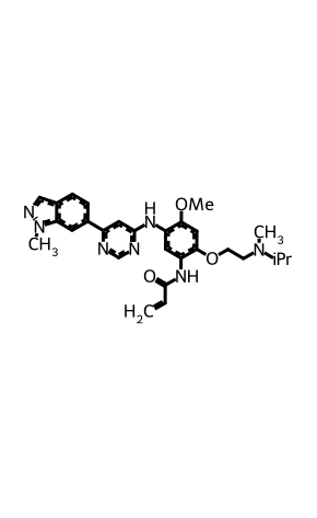 C=CC(=O)Nc1cc(Nc2cc(-c3ccc4cnn(C)c4c3)ncn2)c(OC)cc1OCCN(C)C(C)C